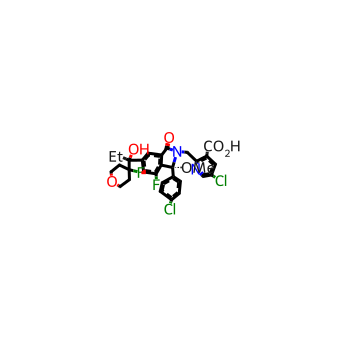 CCC(O)(c1cc(F)c2c(c1)C(=O)N(Cc1ncc(Cl)cc1C(=O)O)[C@@]2(OC)c1ccc(Cl)cc1)C1(F)CCOCC1